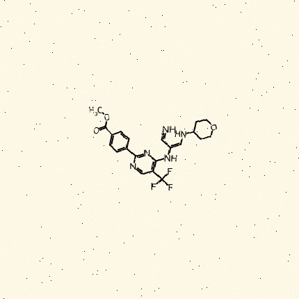 COC(=O)c1ccc(-c2ncc(C(F)(F)F)c(N/C(C=N)=C/NC3CCOCC3)n2)cc1